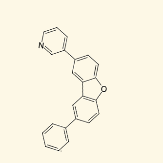 [c]1cccc(-c2ccc3oc4ccc(-c5cccnc5)cc4c3c2)c1